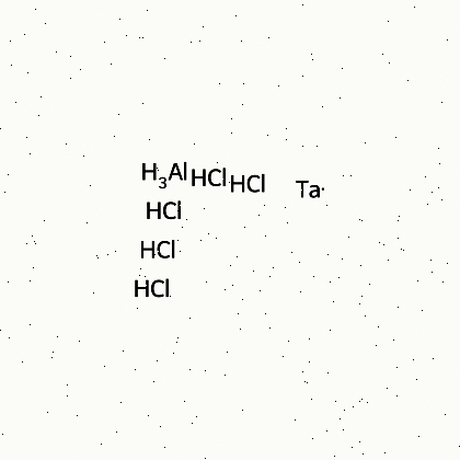 Cl.Cl.Cl.Cl.Cl.[AlH3].[Ta]